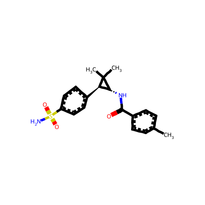 Cc1ccc(C(=O)N[C@@H]2[C@@H](c3ccc(S(N)(=O)=O)cc3)C2(C)C)cc1